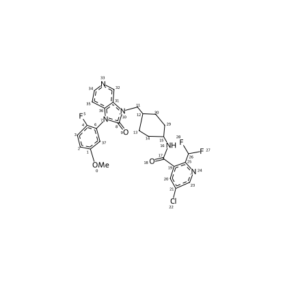 COc1ccc(F)c(-n2c(=O)n(CC3CCC(NC(=O)c4cc(Cl)cnc4C(F)F)CC3)c3cnccc32)c1